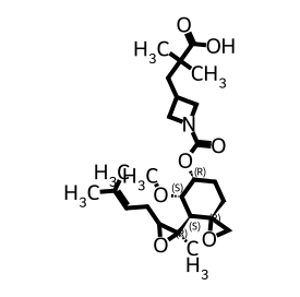 CO[C@@H]1[C@H](OC(=O)N2CC(CC(C)(C)C(=O)O)C2)CC[C@]2(CO2)[C@H]1[C@@]1(C)OC1CC=C(C)C